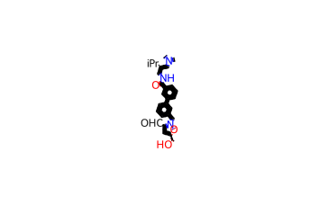 CC(C)[C@@H](CNC(=O)c1cccc(-c2cccc(CN3O[C@@H](CO)C[C@H]3C=O)c2)c1)CN(C)C